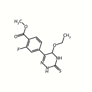 CCOC1NC(=S)NN=C1c1ccc(C(=O)OC)c(F)c1